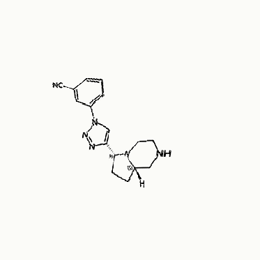 N#Cc1cccc(-n2cc([C@H]3CC[C@H]4CNCCN43)nn2)c1